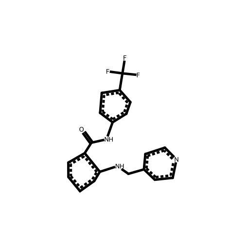 O=C(Nc1ccc(C(F)(F)F)cc1)c1ccccc1NCc1ccncc1